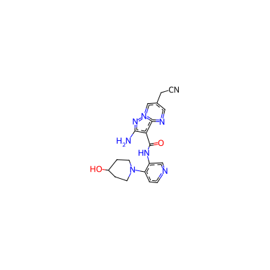 N#CCc1cnc2c(C(=O)Nc3cnccc3N3CCC(O)CC3)c(N)nn2c1